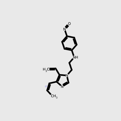 C=Cc1c(/C=C\C)ncn1CCNc1ccc(N=O)cc1